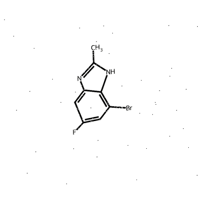 Cc1nc2cc(F)cc(Br)c2[nH]1